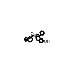 CC1C2Cc3ccc(O)cc3C1(c1ccccc1)CCN2C(=O)C12CCCC3CC(CC3C1)C2